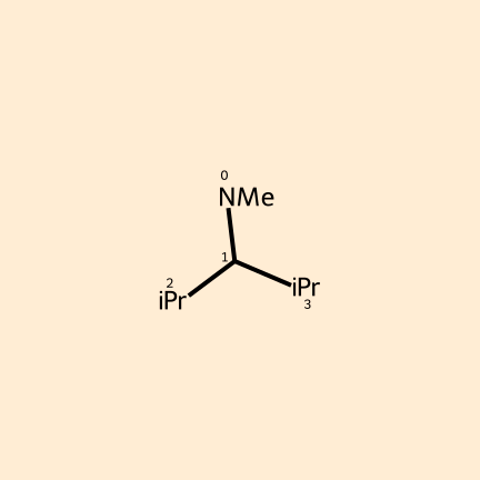 CNC(C(C)C)C(C)C